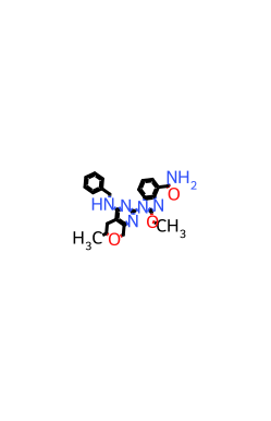 COc1nc2c(C(N)=O)cccc2n1-c1nc2c(c(NCc3ccccc3)n1)CC(C)OC2